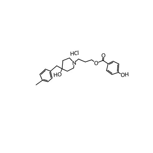 Cc1ccc(CC2(O)CCN(CCCOC(=O)c3ccc(O)cc3)CC2)cc1.Cl